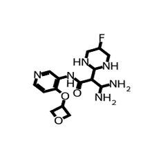 NC(N)C(C(=O)Nc1cnccc1OC1COC1)C1NCC(F)CN1